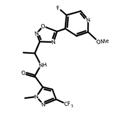 COc1cc(-c2nc(C(C)NC(=O)c3cc(C(F)(F)F)nn3C)no2)c(F)cn1